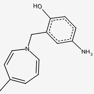 CC1=CC=CN(Cc2cc(N)ccc2O)C=C1